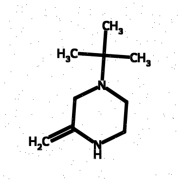 C=C1CN(C(C)(C)C)CCN1